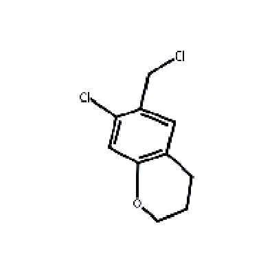 ClCc1cc2c(cc1Cl)OCCC2